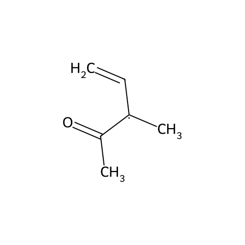 C=C[C](C)C(C)=O